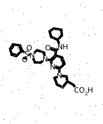 O=C(O)CC1CCCN(c2ccc(C(=O)NC3CCCCC3)c(N3CCN(S(=O)(=O)c4ccccc4)CC3)n2)C1